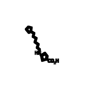 O=C(O)c1ccc(NCCCCCCCC2CCCC2)cc1